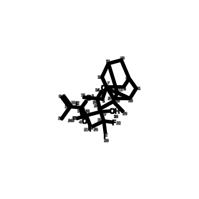 C=C(C)C(=O)OCC12CC3CC(C1)C(OC(C)C(O)(C(F)(F)F)C(F)(F)F)(C(C)C)C(C3)C2